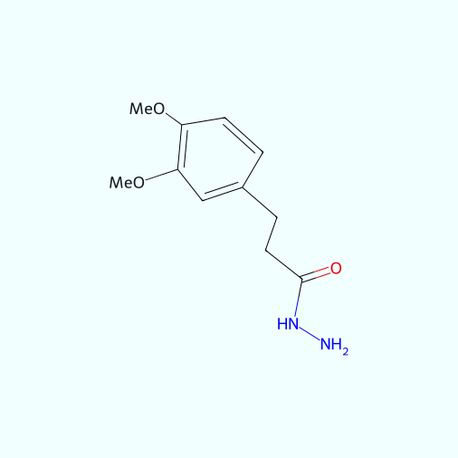 COc1ccc(CCC(=O)NN)cc1OC